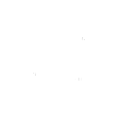 N#Cc1ccc(-c2cc(O)cc(-c3ccc(C#N)cc3)c2)cc1